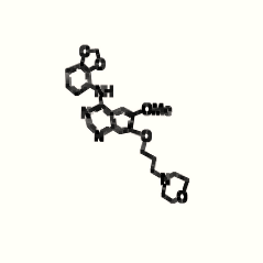 COc1cc2c(Nc3cccc4c3OCO4)ncnc2cc1OCCCN1CCOCC1